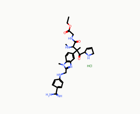 CCOC(=O)CNC(=O)C(NC)C(C)(C(=O)C1C=CCN1)c1ccc2c(c1)nc(CNc1ccc(C(=N)N)cc1)n2C.Cl